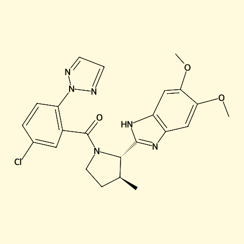 COc1cc2nc([C@@H]3[C@@H](C)CCN3C(=O)c3cc(Cl)ccc3-n3nccn3)[nH]c2cc1OC